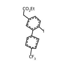 CCOC(=O)Cc1ccc(I)c(-c2ccc(C(F)(F)F)cc2)c1